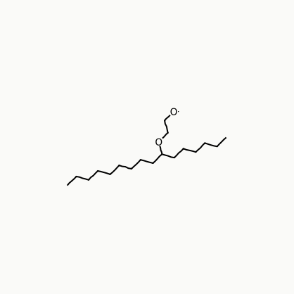 CCCCCCCCCC(CCCCCC)OCC[O]